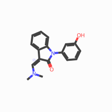 CN(C)/C=C1\C(=O)N(c2cccc(O)c2)c2ccccc21